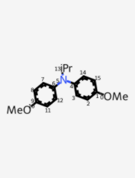 COc1ccc(N(c2ccc(OC)cc2)C(C)C)cc1